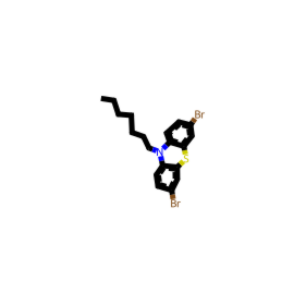 CCCCCCCN1c2ccc(Br)cc2Sc2cc(Br)ccc21